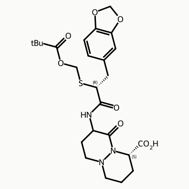 CC(C)(C)C(=O)OCS[C@H](Cc1ccc2c(c1)OCO2)C(=O)NC1CCN2CCC[C@@H](C(=O)O)N2C1=O